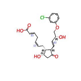 O=C(O)/C=C/C/C=C\C[C@H]1[C@@H](O)CC(=O)[C@@H]1/C=C/[C@@H](O)COc1cccc(Cl)c1